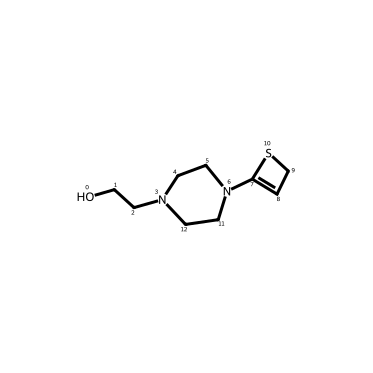 OCCN1CCN(C2=CCS2)CC1